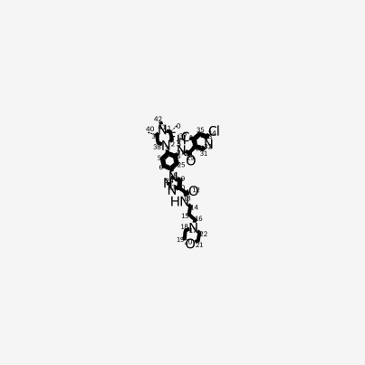 C[C@@H]1CN(c2ccc(-n3cc(C(=O)NCCCN4CCOCC4)nn3)cc2NC(=O)c2cnc(Cl)cc2C(F)(F)F)C[C@H](C)N1C